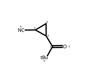 CC(C)(C)C(=O)C1CC1C#N